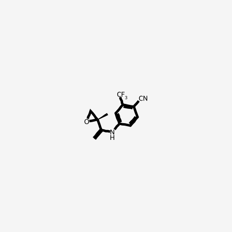 C=C(Nc1ccc(C#N)c(C(F)(F)F)c1)[C@@]1(C)CO1